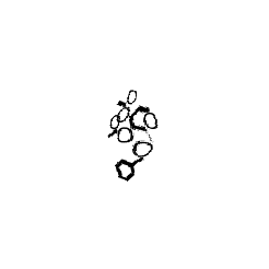 CC(=O)O[C@@H]1[C@H](OC(C)=O)C=CO[C@@H]1COCc1ccccc1